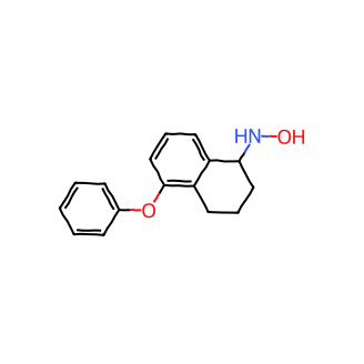 ONC1CCCc2c(Oc3ccccc3)cccc21